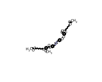 C=CC(=O)OCCCCCCOc1ccc(OCOc2ccc(/C=N/N=C/c3ccc(OC(=O)c4ccc(OCCCCCCOC(=O)C=C)c(OC)c4)cc3)cc2)cc1OC